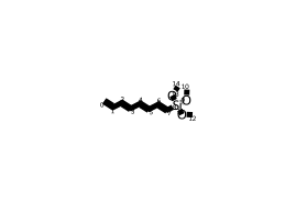 C=C/C=C/C=C/C=C/[Si](OC)(OC)OC